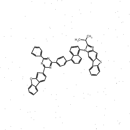 CC(C)c1nc2cc3sc4ccccc4c3cc2n1-c1cccc2c(-c3ccc(-c4nc(-c5ccccc5)nc(-c5ccc6c(c5)oc5ccccc56)n4)cc3)cccc12